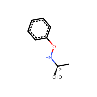 C[C@@H]([C]=O)NOc1ccccc1